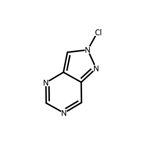 Cln1cc2ncncc2n1